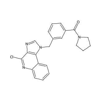 O=C(c1cccc(Cn2cnc3c(Cl)nc4ccccc4c32)c1)N1CCCC1